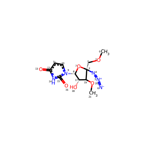 COC[C@@]1(N=[N+]=[N-])O[C@@H](n2ccc(=O)[nH]c2=O)[C@@H](O)C1OC